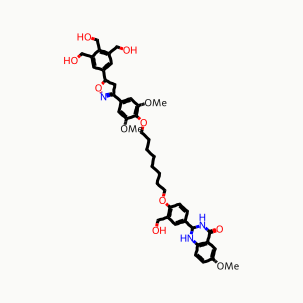 COc1ccc2c(c1)C(=O)NC(c1ccc(OCCCCCCCCOc3c(OC)cc(C4=NOC(c5cc(CO)c(CO)c(CO)c5)C4)cc3OC)c(CO)c1)N2